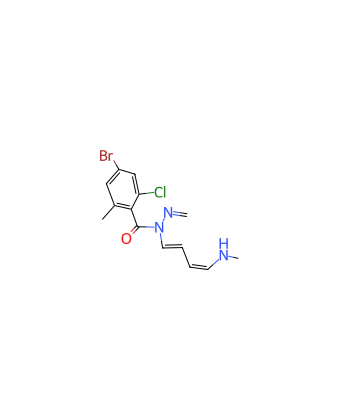 C=NN(/C=C/C=C\NC)C(=O)c1c(C)cc(Br)cc1Cl